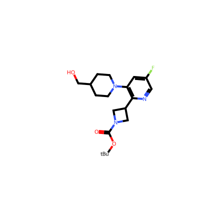 CC(C)(C)OC(=O)N1CC(c2ncc(F)cc2N2CCC(CO)CC2)C1